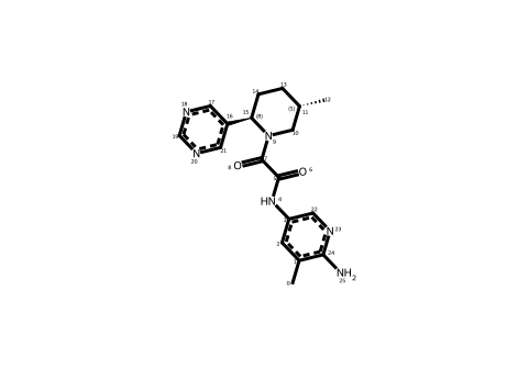 Cc1cc(NC(=O)C(=O)N2C[C@@H](C)CC[C@@H]2c2cncnc2)cnc1N